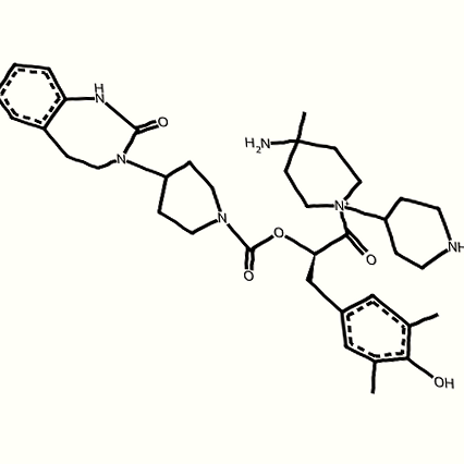 Cc1cc(C[C@@H](OC(=O)N2CCC(N3CCc4ccccc4NC3=O)CC2)C(=O)[N+]2(C3CCNCC3)CCC(C)(N)CC2)cc(C)c1O